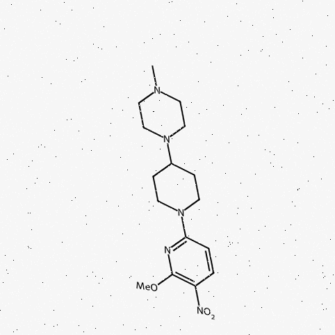 COc1nc(N2CCC(N3CCN(C)CC3)CC2)ccc1[N+](=O)[O-]